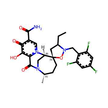 CCC1C[C@]2(CC[C@H](C)N3C[C@H]2n2cc(C(N)=O)c(=O)c(O)c2C3=O)ON1Cc1c(F)cc(F)cc1F